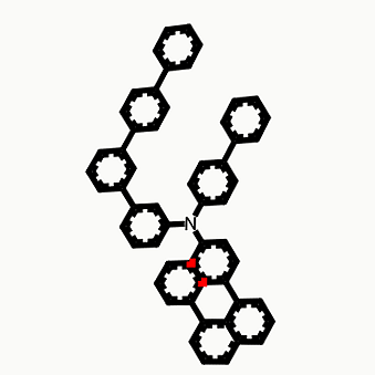 c1ccc(-c2ccc(-c3cccc(-c4cccc(N(c5ccc(-c6ccccc6)cc5)c5ccc(-c6cccc7cccc(-c8ccccc8)c67)cc5)c4)c3)cc2)cc1